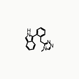 Cn1cnnc1Cc1ccccc1-c1[nH]cc2ccccc12